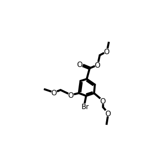 COCOC(=O)c1cc(OCOC)c(Br)c(OCOC)c1